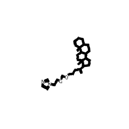 CC(CCCOCOCCn1ccnc1)C1CCC2C3CCC4CCCCC4(C)C3CCC12C